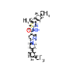 Cc1ccc(-c2nc(NC(=O)c3ccc(N4CCC(c5cccc(C(F)(F)F)c5)CC4)nc3)sc2C)cc1